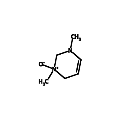 CN1C=CC[N+](C)([O-])C1